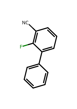 N#Cc1cccc(-c2ccccc2)c1F